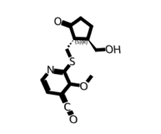 COC1C(=C=O)C=CN=C1SC[C@@H]1C(=O)CC[C@H]1CO